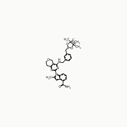 Cc1cc2c(C(N)=O)cccc2n1-c1nc2c(c(NCc3cccc(CB4OC(C)(C)C(C)(C)O4)c3)n1)COCC2